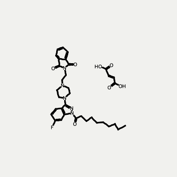 CCCCCCCCCC(=O)n1nc(N2CCN(CCN3C(=O)c4ccccc4C3=O)CC2)c2ccc(F)cc21.O=C(O)C=CC(=O)O